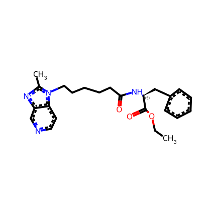 CCOC(=O)[C@H](Cc1ccccc1)NC(=O)CCCCCn1c(C)nc2cnccc21